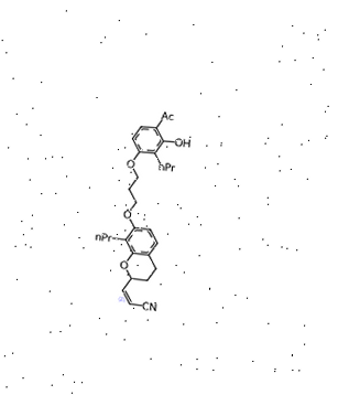 CCCc1c(OCCCOc2ccc3c(c2CCC)OC(/C=C\C#N)CC3)ccc(C(C)=O)c1O